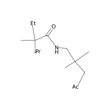 CCC(C)(C(=O)NCC(C)(C)CC(C)=O)C(C)C